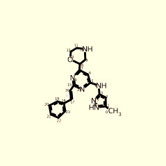 Cc1cc(Nc2cc(C3CNCCO3)nc(/C=C/c3ccccc3)n2)n[nH]1